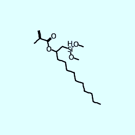 C=C(C)C(=O)OC(CCCCCCCCCC)C[SiH](OC)OC